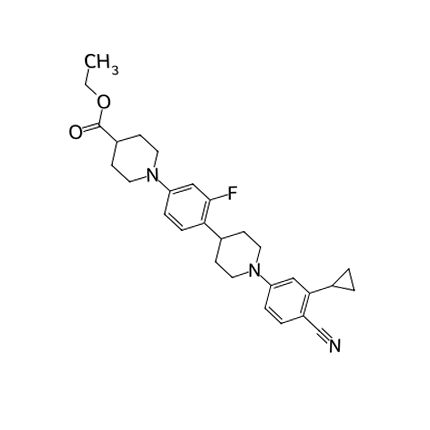 CCOC(=O)C1CCN(c2ccc(C3CCN(c4ccc(C#N)c(C5CC5)c4)CC3)c(F)c2)CC1